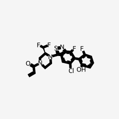 C=CC(=O)N1CCN(c2snc3c(F)c(-c4c(O)cccc4F)c(Cl)cc23)[C@H](C(F)F)C1